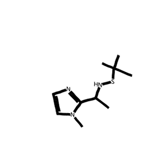 CC(NSC(C)(C)C)c1nccn1C